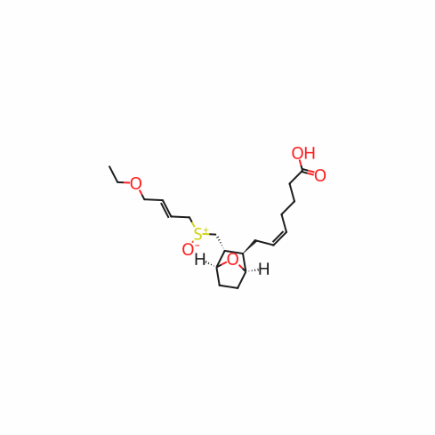 CCOCC=CC[S+]([O-])C[C@@H]1[C@@H](C/C=C\CCCC(=O)O)[C@H]2CC[C@@H]1O2